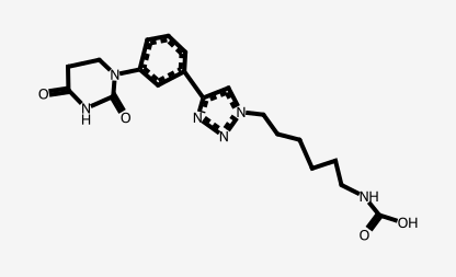 O=C(O)NCCCCCCn1cc(-c2cccc(N3CCC(=O)NC3=O)c2)nn1